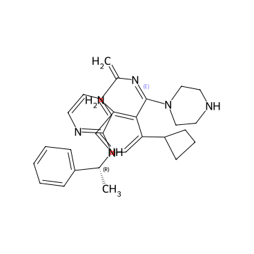 C=C(/N=C(\c1c(N)cncc1C1CCC1)N1CCNCC1)c1ccnc(N[C@H](C)c2ccccc2)c1